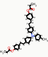 C=CC(=O)Oc1ccc(CCc2ccc(N(c3ccc(C)cc3)c3ccc(CCc4ccc(OC(=O)C=C)cc4)cc3)cc2)cc1